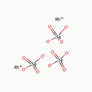 O=[Se](=O)([O-])[O-].O=[Se](=O)([O-])[O-].O=[Se](=O)([O-])[O-].[Rh+3].[Rh+3]